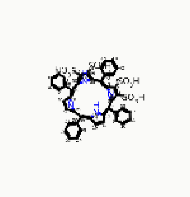 O=S(=O)(O)C1=C(S(=O)(=O)O)c2nc1c(-c1ccccc1)c1ccc([nH]1)c(-c1ccccc1)c1nc(c(-c3ccccc3)c3[nH]c(c2-c2ccccc2)c(S(=O)(=O)O)c3S(=O)(=O)O)C=C1